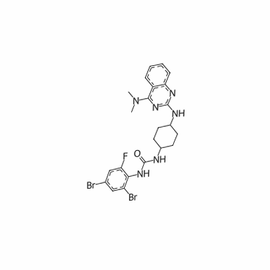 CN(C)c1nc(NC2CCC(NC(=O)Nc3c(F)cc(Br)cc3Br)CC2)nc2ccccc12